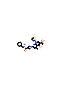 C=C(O)c1cn(-c2nccs2)c2nc(N3CC(C(=O)NCC4CCCCC4)C3)cc(C)c2c1=O